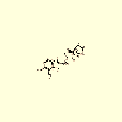 Clc1ccc2nc(NC3=NOC4(C3)CN3CCC4CC3)sc2c1Cl